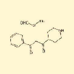 CC(C)(C)OC=O.O=C(CC(=O)C1CCNCC1)c1ccccc1